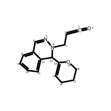 O=C=CCN1N=Cc2ccccc2C1C1=CCCCO1